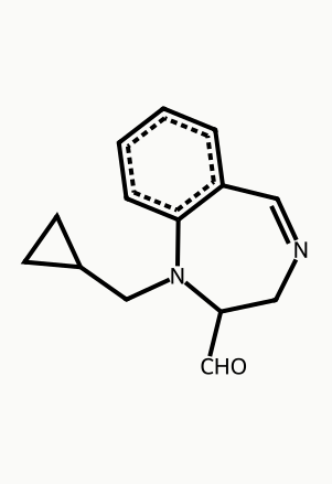 O=CC1CN=Cc2ccccc2N1CC1CC1